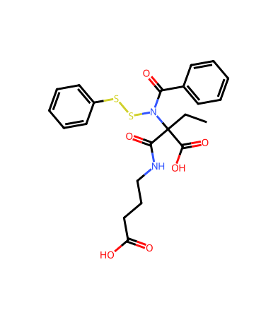 CCC(C(=O)O)(C(=O)NCCCC(=O)O)N(SSc1ccccc1)C(=O)c1ccccc1